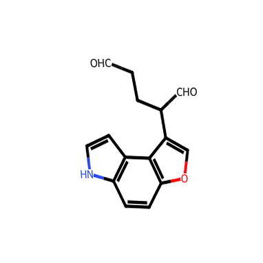 O=CCCC(C=O)c1coc2ccc3[nH]ccc3c12